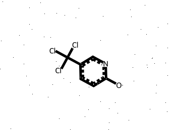 [O]c1ccc(C(Cl)(Cl)Cl)cn1